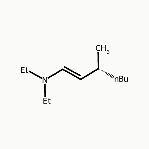 CCCC[C@@H](C)/C=C/N(CC)CC